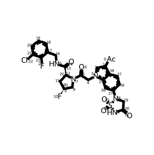 CC(=O)c1cn(CC(=O)N2C[C@H](F)C[C@H]2C(=O)NCc2cccc(Cl)c2F)c2cc(N3CC(=O)NS3(=O)=O)ccc12